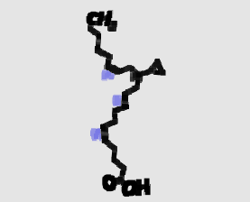 CCCCC/C=C\C[C@H](C/C=C/CC/C=C\CCCC(=O)O)C1CC1